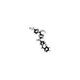 Cc1ccn(C(C)c2nnc(Nc3ccn(Cc4ncccc4F)n3)s2)n1